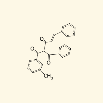 Cc1cccc(C(=O)C(C(=O)C=Cc2ccccc2)C(=O)c2ccccc2)c1